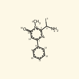 Cn1c(C(N)I)nc(-c2ccccc2)cc1=O